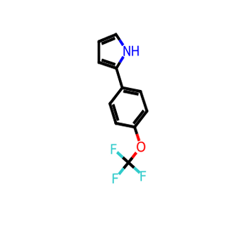 FC(F)(F)Oc1ccc(-c2ccc[nH]2)cc1